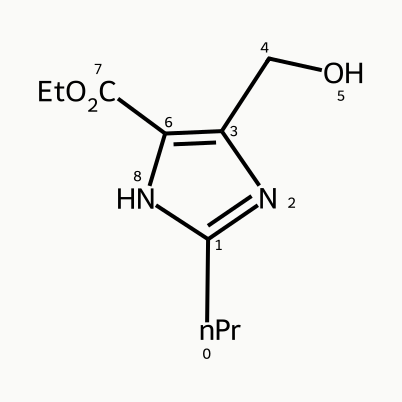 CCCc1nc(CO)c(C(=O)OCC)[nH]1